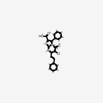 O=C(O)c1sc2nc(/C=C/c3ccccc3)c(Cl)c(=O)n2c1-c1ccccc1